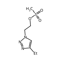 CCc1cn(CCOS(C)(=O)=O)nn1